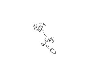 CC(C)(C)OC(=O)CCCCC(N)C(=O)OCc1ccccc1